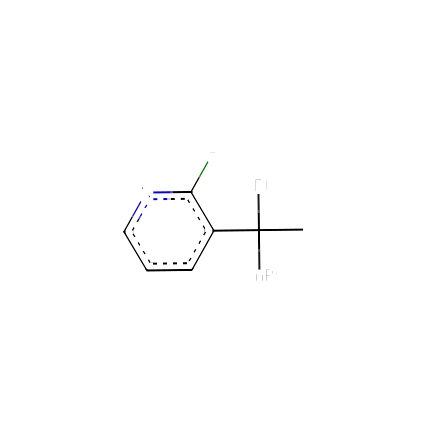 CCCC(C)(CC)c1cccnc1F